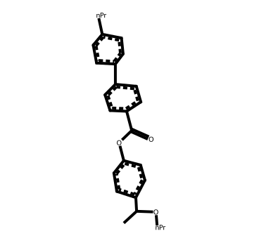 CCCOC(C)c1ccc(OC(=O)c2ccc(-c3ccc(CCC)cc3)cc2)cc1